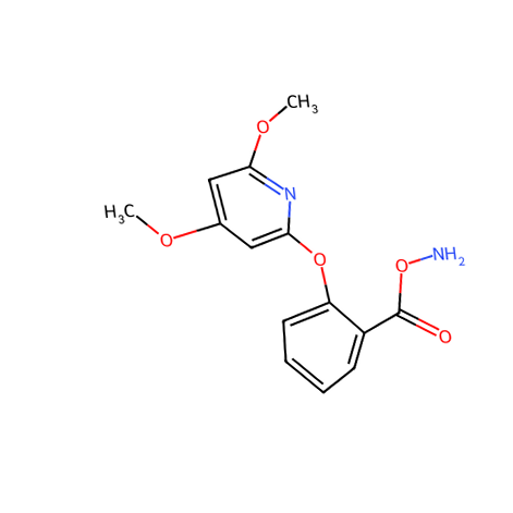 COc1cc(OC)nc(Oc2ccccc2C(=O)ON)c1